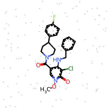 COn1cc(C(=O)N2CCC(c3ccc(F)cc3)CC2)c(NCc2ccccc2)c(Cl)c1=O